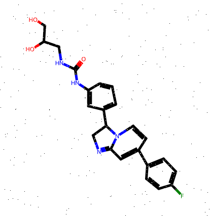 O=C(NCC(O)CO)Nc1cccc(C2CN=C3C=C(c4ccc(F)cc4)C=CN32)c1